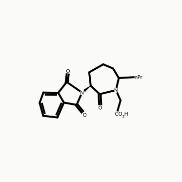 CCCC1CCC[C@H](N2C(=O)c3ccccc3C2=O)C(=O)N1CC(=O)O